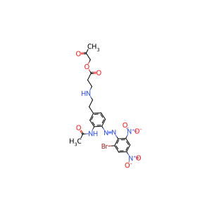 CC(=O)COC(=O)CCNCCc1ccc(N=Nc2c(Br)cc([N+](=O)[O-])cc2[N+](=O)[O-])c(NC(C)=O)c1